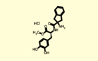 COC(=O)[C@H](Cc1ccc(O)c(O)c1)NC(=O)C1(N)Cc2ccccc2C1.Cl